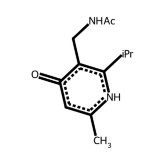 CC(=O)NCc1c(C(C)C)[nH]c(C)cc1=O